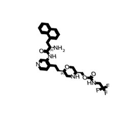 N[C@@H](Cc1cccc2ccccc12)C(=O)Nc1cnccc1CC[C@@H]1CN[C@H](COC(=O)NCC(F)(F)F)CO1